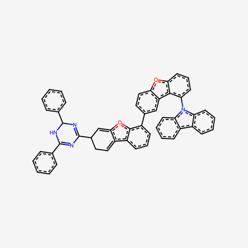 C1=c2oc3c(-c4ccc5oc6cccc(-n7c8ccccc8c8ccccc87)c6c5c4)cccc3c2=CCC1C1=NC(c2ccccc2)NC(c2ccccc2)=N1